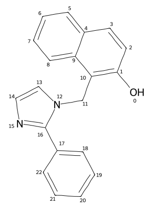 Oc1ccc2ccccc2c1Cn1ccnc1-c1ccccc1